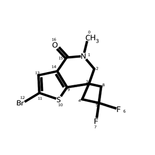 CN1CC2(CC(F)(F)C2)c2sc(Br)cc2C1=O